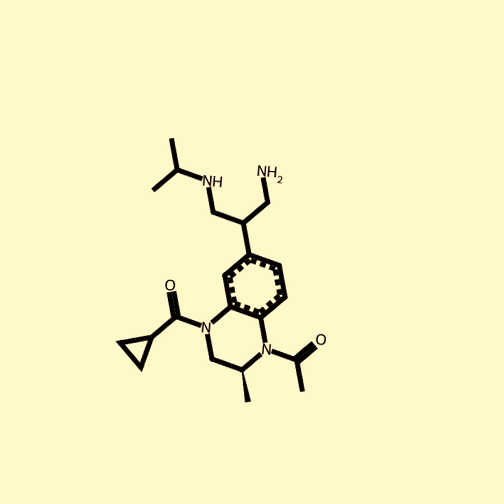 CC(=O)N1c2ccc(C(CN)CNC(C)C)cc2N(C(=O)C2CC2)C[C@@H]1C